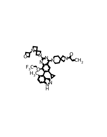 C=CC(=O)N1CC2(CCN(c3nc(N4CC5(CCN5C5COC5)C4)nc4c(OCC(F)(F)F)c(-c5c(C)ccc6[nH]ncc56)c(C5CC5)cc34)CC2)C1